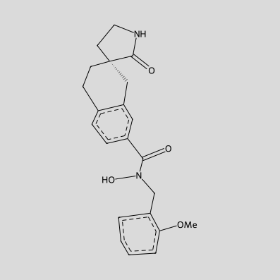 COc1ccccc1CN(O)C(=O)c1ccc2c(c1)C[C@@]1(CCNC1=O)CC2